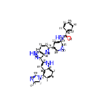 Cc1cn(-c2cccc3[nH]c(-c4n[nH]c5ccc(-c6cncc(NC(=O)c7ccccc7)c6)nc45)cc23)cn1